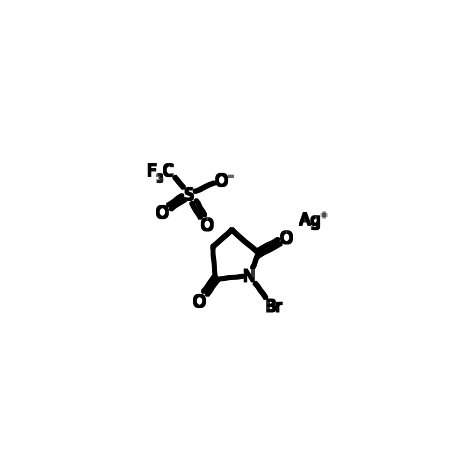 O=C1CCC(=O)N1Br.O=S(=O)([O-])C(F)(F)F.[Ag+]